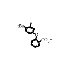 Cc1cc(Oc2ccccc2C(=O)O)ccc1C(C)(C)C